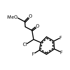 COC(=O)CC(=O)C(Cl)c1cc(F)c(F)cc1F